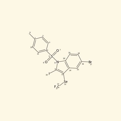 Cc1ccc(S(=O)(=O)n2c(I)c([Se]C(F)(F)F)c3cc(Br)ccc32)cc1